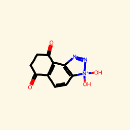 O=C1CCC(=O)c2c1ccc1c2N=N[N+]1(O)O